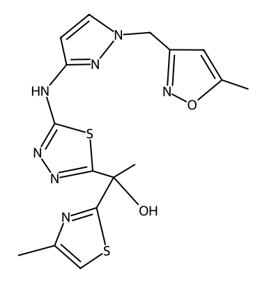 Cc1csc(C(C)(O)c2nnc(Nc3ccn(Cc4cc(C)on4)n3)s2)n1